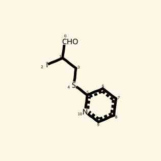 O=CC(I)CSc1ccccn1